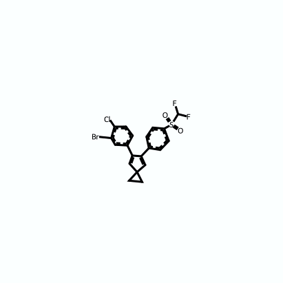 O=S(=O)(c1ccc(C2=CC3(C=C2c2ccc(Cl)c(Br)c2)CC3)cc1)C(F)F